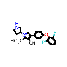 N#Cc1c(-c2ccc(Oc3c(F)cccc3F)cc2)cn([C@@H]2CCNC2)c1C(=O)O